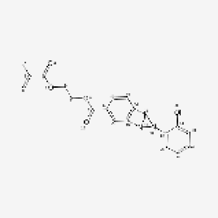 C=C(C)C(=O)OCCOC(=O)c1ccc2c(c1)n1n(-c3ccccc3O)n21